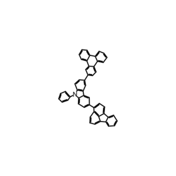 c1ccc(-n2c3ccc(-c4ccc5c6ccccc6c6ccccc6c5c4)cc3c3cc(-c4ccc5c6c(cccc46)-c4ccccc4-5)ccc32)cc1